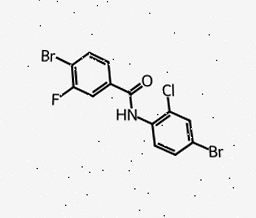 O=C(Nc1ccc(Br)cc1Cl)c1ccc(Br)c(F)c1